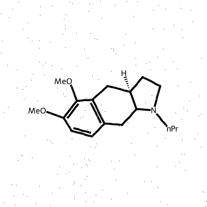 CCCN1CC[C@@H]2Cc3c(ccc(OC)c3OC)CC21